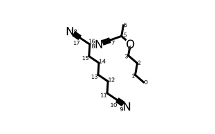 CCCCOC(C)C#N.N#CCCCCCCC#N